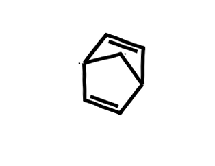 [CH]1[C]2C=CC1C=C2